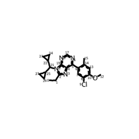 CCc1nc2c(-c3cc(Cl)c(OC)cc3C)ncnc2n1C(C1CC1)C1CC1